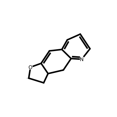 [CH]1CC2Cc3ncccc3C=C2O1